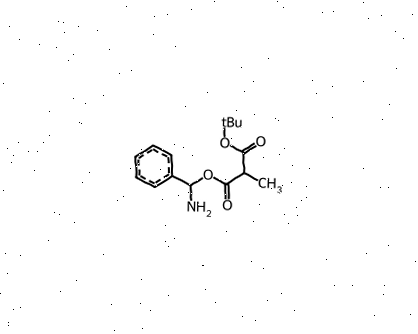 CC(C(=O)OC(N)c1ccccc1)C(=O)OC(C)(C)C